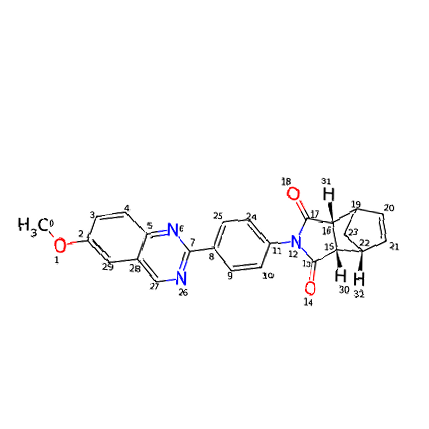 COc1ccc2nc(-c3ccc(N4C(=O)[C@@H]5[C@H](C4=O)C4C=C[C@H]5C4)cc3)ncc2c1